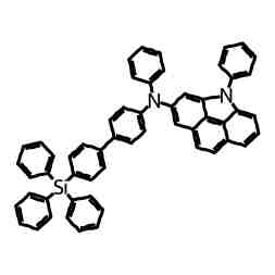 c1ccc(N(c2ccc(-c3ccc([Si](c4ccccc4)(c4ccccc4)c4ccccc4)cc3)cc2)c2cc3ccc4cccc5c4c3c(c2)n5-c2ccccc2)cc1